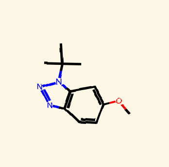 COc1ccc2nnn(C(C)(C)C)c2c1